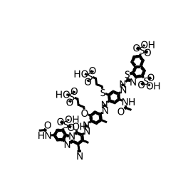 CC(=O)Nc1cc(S(=O)(=O)O)c2c(c1)nc1c(C#N)c(C)c(N=Nc3cc(C)c(N=Nc4cc(NC(C)=O)c(N=Nc5nc6c(S(=O)(=O)O)cc7cc(S(=O)(=O)O)ccc7c6s5)cc4SCCCS(=O)(=O)O)cc3OCCCS(=O)(=O)O)c(O)n12